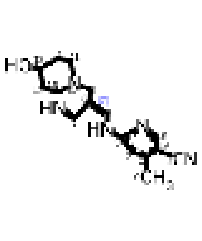 Cc1cc(N/C=C(\C=N)CN2CCC(O)CC2)ncc1C#N